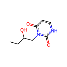 CCC(O)Cn1c(=O)cc[nH]c1=O